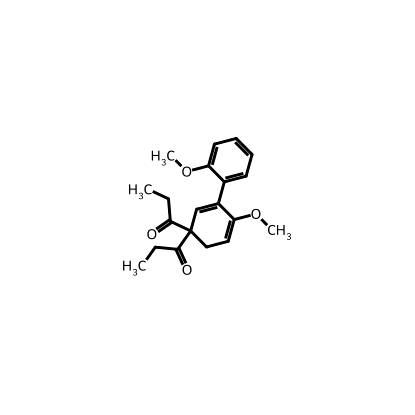 CCC(=O)C1(C(=O)CC)C=C(c2ccccc2OC)C(OC)=CC1